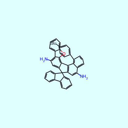 CC(C)(C)c1ccc(-c2cccc3c(N)cc4c(c23)-c2c(cc(N)c3c2oc2ccccc23)C42c3ccccc3-c3ccccc32)cc1